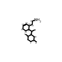 CC1CCC(C)C(C(C)C2CCC=CC2CCN)C1